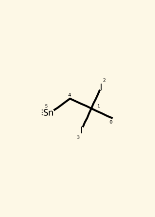 CC(I)(I)[CH2][Sn]